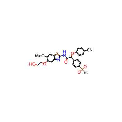 CCS(=O)(=O)c1ccc(C(Oc2ccc(C#N)cc2)C(=O)Nc2nc3cc(OCCO)c(OC)cc3s2)cc1